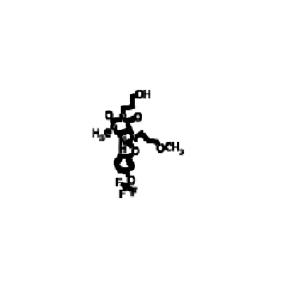 COCCCN1c2c(n(C)c(=O)n(CCCO)c2=O)NC1Oc1cccc(OC(F)(F)F)c1